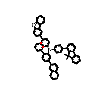 CC1(C)c2ccccc2-c2cccc(-c3ccc(N(c4ccc(-c5ccc6oc7ccccc7c6c5)cc4)c4cc(-c5ccc6ccccc6c5)ccc4-c4ccccc4)cc3)c21